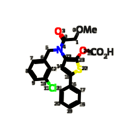 COCC(=O)N(Cc1cccc(Cl)c1)c1cc(-c2ccccc2)sc1OC(=O)O